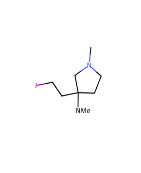 CNC1(CCI)CCN(C)C1